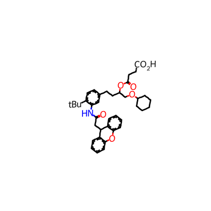 CC(C)(C)c1ccc(CCC(COC2CCCCC2)OC(=O)CCC(=O)O)cc1NC(=O)CC1c2ccccc2Oc2ccccc21